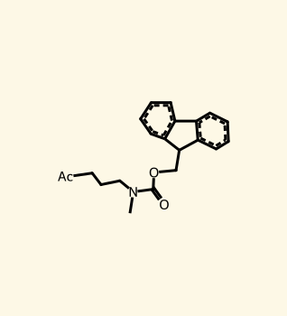 CC(=O)CCCN(C)C(=O)OCC1c2ccccc2-c2ccccc21